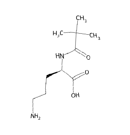 CC(C)(C)C(=O)N[C@H](CCCN)C(=O)O